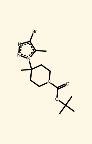 Cc1c(Br)nnn1C1(C)CCN(C(=O)OC(C)(C)C)CC1